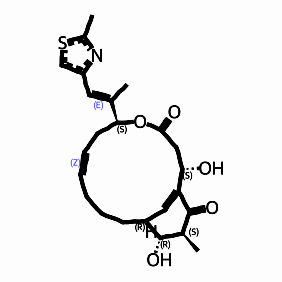 C/C(=C\c1csc(C)n1)[C@@H]1C/C=C\CCC[C@@H]2C=C(C(=O)[C@@H](C)[C@@H]2O)[C@@H](O)CC(=O)O1